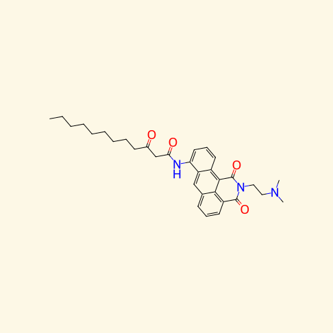 CCCCCCCCCC(=O)CC(=O)Nc1cccc2c3c4c(cccc4cc12)C(=O)N(CCN(C)C)C3=O